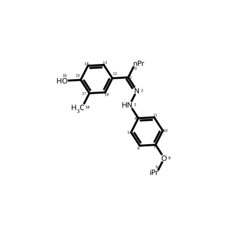 CCCC(=NNc1ccc(OC(C)C)cc1)c1ccc(O)c(C)c1